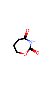 O=C1[CH]CCOC(=O)N1